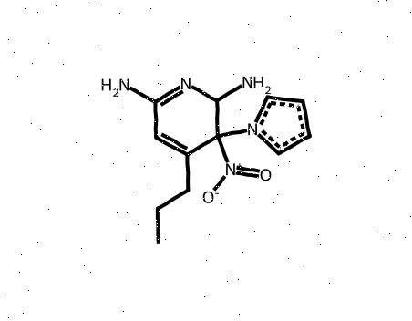 CCCC1=CC(N)=NC(N)C1(n1cccc1)[N+](=O)[O-]